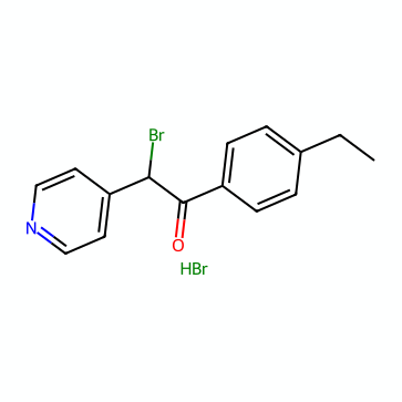 Br.CCc1ccc(C(=O)C(Br)c2ccncc2)cc1